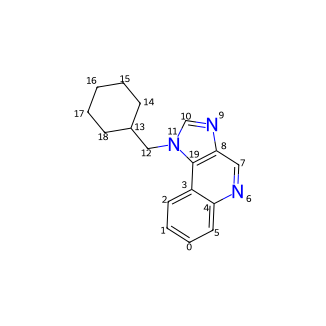 c1ccc2c(c1)ncc1ncn(CC3CCCCC3)c12